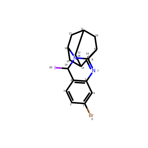 Brc1ccc2c(c1)N=C1C3CC4CC(C3)CC(C4)N1C2I